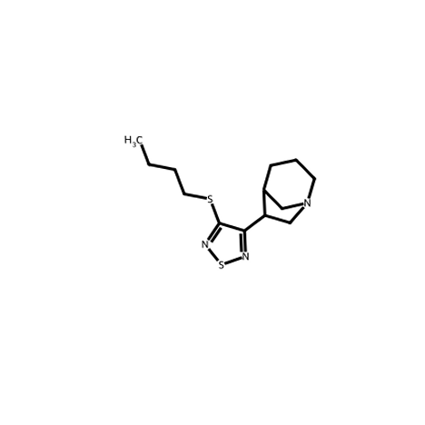 CCCCSc1nsnc1C1CN2CCCC1C2